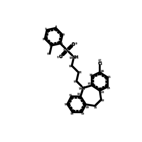 Cc1ccccc1S(=O)(=O)NCCCN1c2ccccc2CCc2ccc(Cl)cc21